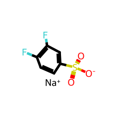 O=S(=O)([O-])c1ccc(F)c(F)c1.[Na+]